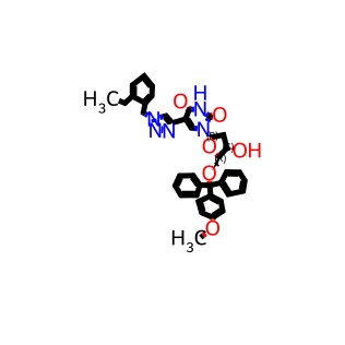 CCc1ccccc1Cn1cc(-c2cn([C@H]3C[C@H](O)[C@@H](COC(c4ccccc4)(c4ccccc4)c4ccc(OC)cc4)O3)c(=O)[nH]c2=O)nn1